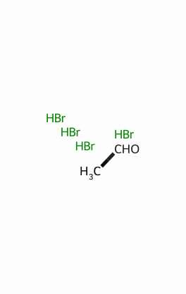 Br.Br.Br.Br.CC=O